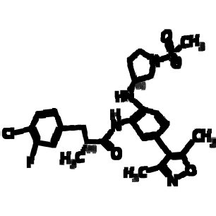 Cc1noc(C)c1-c1ccc(N[C@H]2CCN(S(C)(=O)=O)C2)c(NC(=O)[C@H](C)Cc2ccc(Cl)c(F)c2)c1